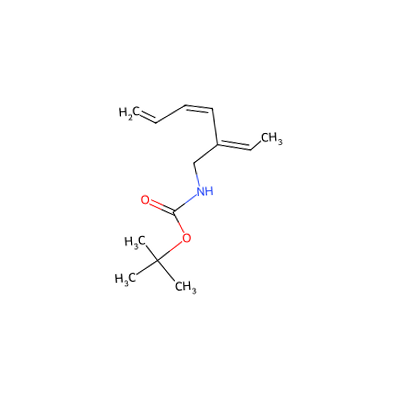 C=C/C=C\C(=C/C)CNC(=O)OC(C)(C)C